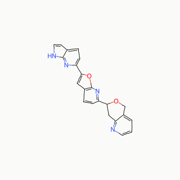 c1cnc2c(c1)COC(c1ccc3cc(-c4ccc5cc[nH]c5n4)oc3n1)C2